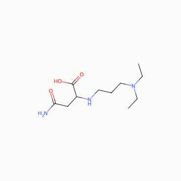 CCN(CC)CCCNC(CC(N)=O)C(=O)O